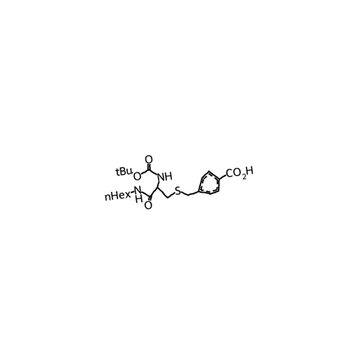 CCCCCCNC(=O)C(CSCc1ccc(C(=O)O)cc1)NC(=O)OC(C)(C)C